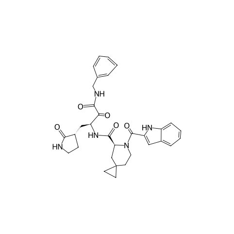 O=C(NCc1ccccc1)C(=O)[C@H](C[C@@H]1CCNC1=O)NC(=O)[C@@H]1CC2(CCN1C(=O)c1cc3ccccc3[nH]1)CC2